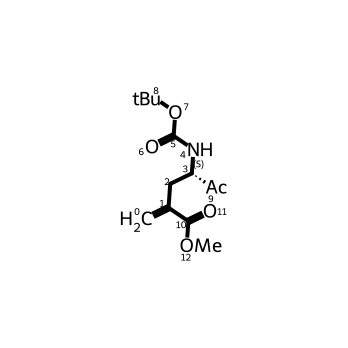 C=C(C[C@H](NC(=O)OC(C)(C)C)C(C)=O)C(=O)OC